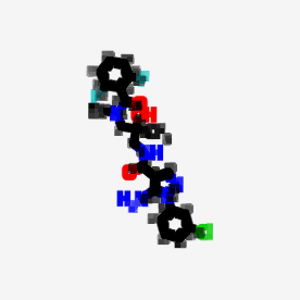 CCN(CC(O)(CNC(=O)c1cnn(-c2cccc(Cl)c2)c1N)C(F)(F)F)C(=O)c1c(F)cccc1F